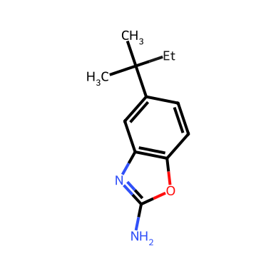 CCC(C)(C)c1ccc2oc(N)nc2c1